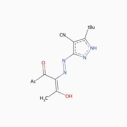 [C-]#[N+]c1c(/N=N/C(C(=O)C(C)=O)=C(/C)O)n[nH]c1C(C)(C)C